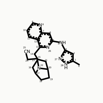 Cc1cc(Nc2cc3ncccc3c(CC3CC4CCC(C3)N4CCC#N)n2)n[nH]1